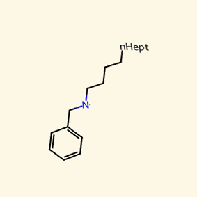 CCCCCCCCCCC[N]Cc1ccccc1